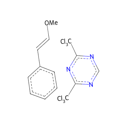 COC=Cc1ccccc1.ClC(Cl)(Cl)c1ncnc(C(Cl)(Cl)Cl)n1